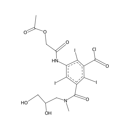 CC(=O)OCC(=O)Nc1c(I)c(C(=O)Cl)c(I)c(C(=O)N(C)CC(O)CO)c1I